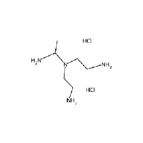 CC(N)N(CCN)CCN.Cl.Cl